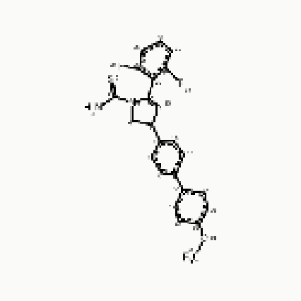 NC(=S)N1CC(c2ccc(-c3ccc(OC(F)(F)F)cc3)cc2)N=C1c1c(F)cccc1F